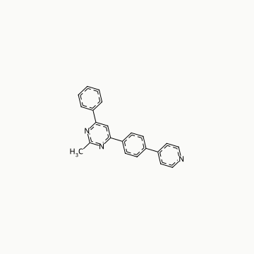 Cc1nc(-c2ccccc2)cc(-c2ccc(-c3ccncc3)cc2)n1